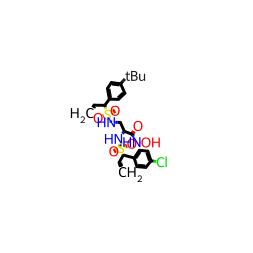 C=CC(c1ccc(C(C)(C)C)cc1)S(=O)(=O)NCC(NS(=O)(=O)C(C=C)c1ccc(Cl)cc1)C(=O)NO